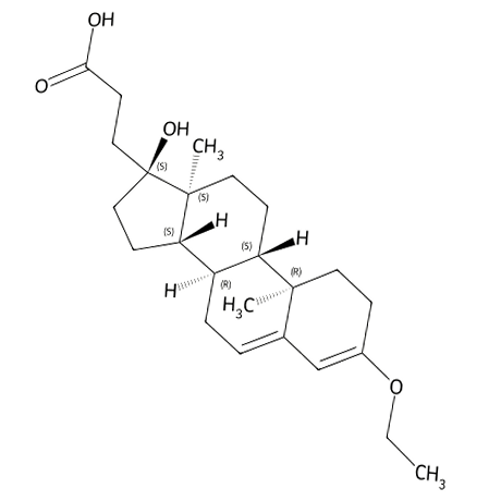 CCOC1=CC2=CC[C@@H]3[C@H](CC[C@@]4(C)[C@H]3CC[C@]4(O)CCC(=O)O)[C@@]2(C)CC1